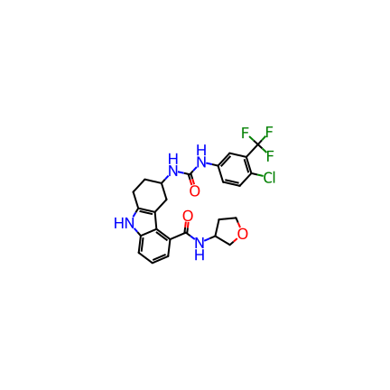 O=C(Nc1ccc(Cl)c(C(F)(F)F)c1)NC1CCc2[nH]c3cccc(C(=O)NC4CCOC4)c3c2C1